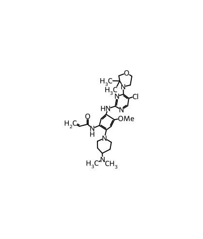 C=CC(=O)Nc1cc(Nc2ncc(Cl)c(N3CCOCC3(C)C)n2)c(OC)cc1N1CCC(N(C)C)CC1